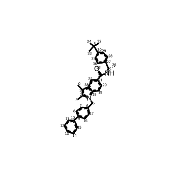 Cc1c(C)n(Cc2ccc(-c3ccccc3)cc2)c2ccc(C(=O)N[C@@H](C)c3ccc(C(C)(C)C)cc3)cc12